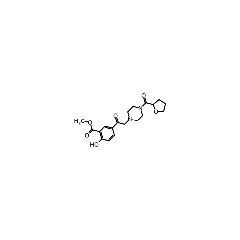 COC(=O)c1cc(C(=O)CN2CCN(C(=O)C3CCCO3)CC2)ccc1O